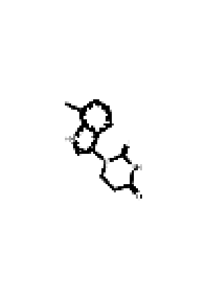 Cc1cccc2c(N3CCC(=O)NC3=O)c[nH]c12